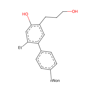 CCCCCCCCCc1ccc(-c2cc(CCCO)c(O)cc2CC)cc1